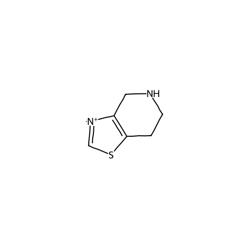 C1=[N+]C2=C(CCNC2)S1